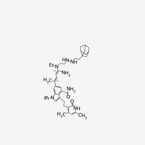 CCN(CCNNCCC12CC3CC(CC1C3)C2)/C(N)=C/C=C(\C)c1cc(C(N)=O)c2c(CCc3c(C)cc(C)[nH]c3=O)cn(C(C)C)c2c1